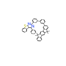 CC1(C)c2ccccc2-c2cc3c(cc21)-c1cc(-c2cccc(C4C=CC=C(c5nc(C6=CCCC=C6)c6c(n5)sc5ccccc56)C4)c2)ccc1C3(C)C